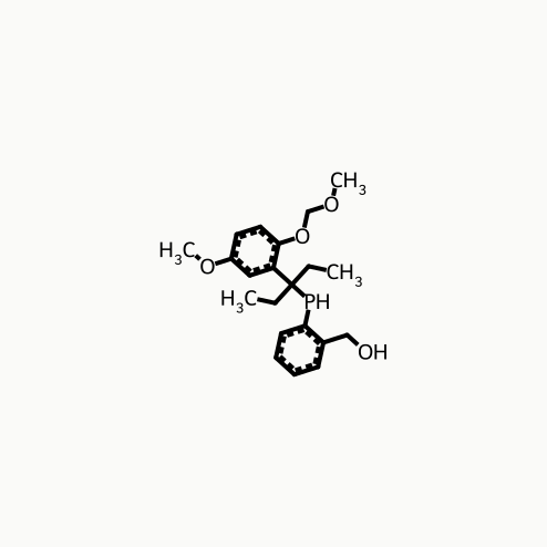 CCC(CC)(Pc1ccccc1CO)c1cc(OC)ccc1OCOC